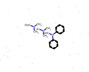 CC(=O)N(C)C.CN(C)C=O.O=CN(c1ccccc1)c1ccccc1